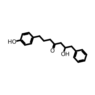 O=C(CCCc1ccc(O)cc1)CC(O)Cc1ccccc1